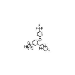 CNS(=O)(=O)c1ccc(Oc2ccc(C(F)(F)F)cc2)c(-c2cn3c(n2)CC(C)C3)c1